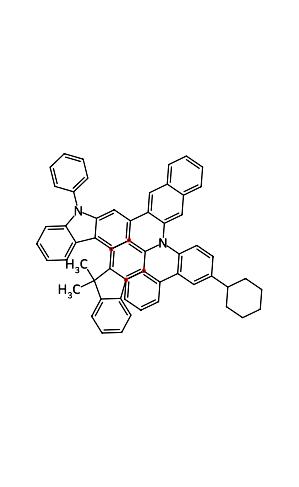 CC1(C)c2ccccc2-c2cc(N(c3ccc(C4CCCCC4)cc3-c3ccccc3)c3cc4ccccc4cc3-c3ccc4c5ccccc5n(-c5ccccc5)c4c3)ccc21